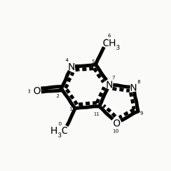 Cc1c(=O)nc(C)n2ncoc12